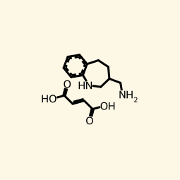 NCC1CCc2ccccc2NC1.O=C(O)C=CC(=O)O